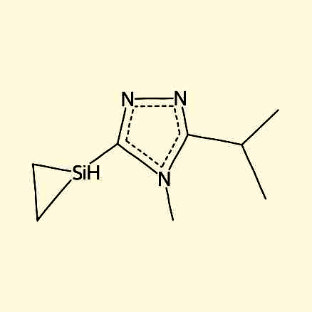 CC(C)c1nnc([SiH]2CC2)n1C